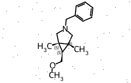 COC[C@H]1[C@]2(C)CN(Cc3ccccc3)C[C@]12C